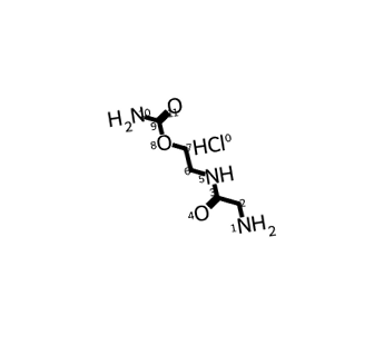 Cl.NCC(=O)NCCOC(N)=O